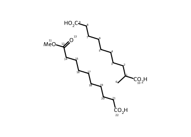 CC(CCCCCCCC(=O)O)C(=O)O.COC(=O)CCCCCCCCC(=O)O